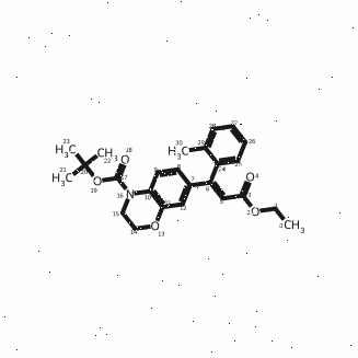 CCOC(=O)C=C(c1ccc2c(c1)OCCN2C(=O)OC(C)(C)C)c1ccccc1C